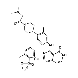 Cc1cc(Nc2nc(Nc3cccc(C)c3S(N)(=O)=O)cc3cc[nH]c(=O)c23)ccc1C1CCN(C(=O)CN(C)C)CC1